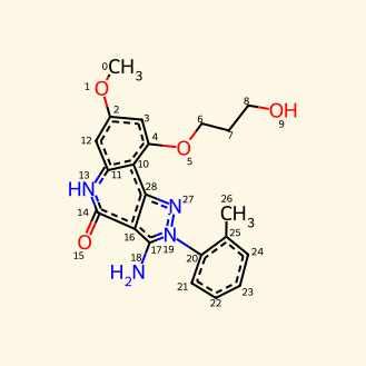 COc1cc(OCCCO)c2c(c1)[nH]c(=O)c1c(N)n(-c3ccccc3C)nc12